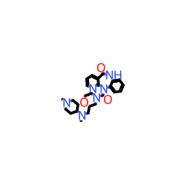 CN1CCC(N(C)CC2CN(C(=O)N3c4ccccc4NC(=O)c4cccnc43)CCO2)CC1